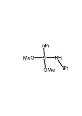 CCC[Si](NC(C)C)(OC)OC